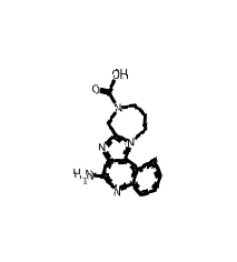 Nc1nc2ccccc2c2c1nc1n2CCCN(C(=O)O)C1